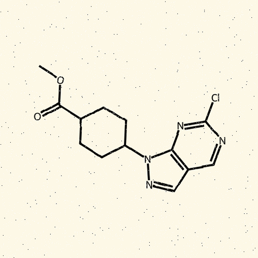 COC(=O)C1CCC(n2ncc3cnc(Cl)nc32)CC1